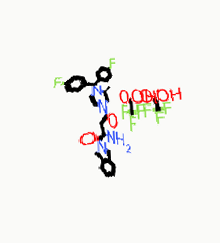 C[C@H]1CN(C(=O)C[C@H](N)C(=O)N2Cc3ccccc3C2)CCN1C(c1ccc(F)cc1)c1ccc(F)cc1.O=C(O)C(F)(F)F.O=C(O)C(F)(F)F